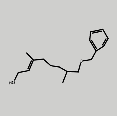 CC(=CCO)CCCC(C)COCc1ccccc1